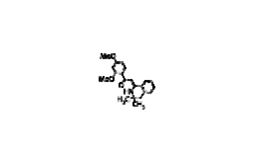 COc1ccc(C(=O)/C=C2\NC(C)(C)Cc3ccccc32)c(OC)c1